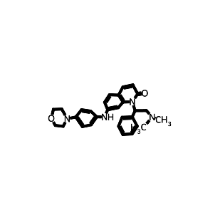 CN(C)CC(c1ccccc1)n1c(=O)ccc2ccc(Nc3ccc(N4CCOCC4)cc3)cc21